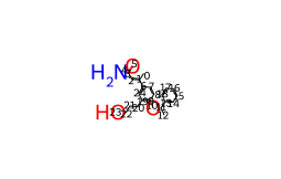 CC(=CC(N)=O)c1ccc(OC(C)c2ccccc2)c(CCCO)c1